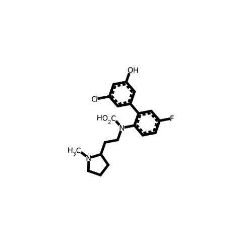 CN1CCCC1CCN(C(=O)O)c1ccc(F)cc1-c1cc(O)cc(Cl)c1